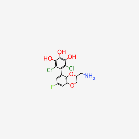 NC[C@H]1COc2cc(F)cc(-c3c(Cl)c(O)c(O)c(O)c3Cl)c2O1